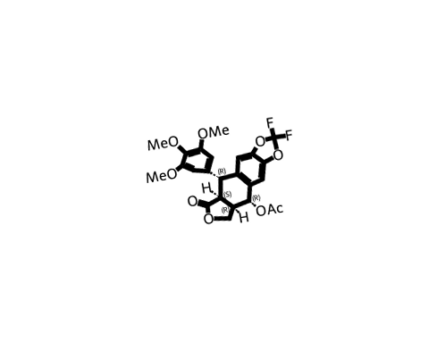 COc1cc([C@@H]2c3cc4c(cc3[C@H](OC(C)=O)[C@H]3COC(=O)[C@@H]23)OC(F)(F)O4)cc(OC)c1OC